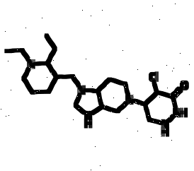 CCC1C(CN2CNC3CN(C4CNNC(=O)C4Cl)CCC32)CCCN1CC